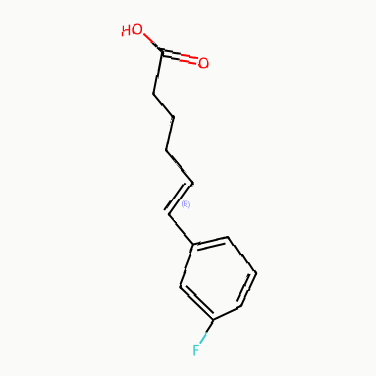 O=C(O)CCC/C=C/c1cccc(F)c1